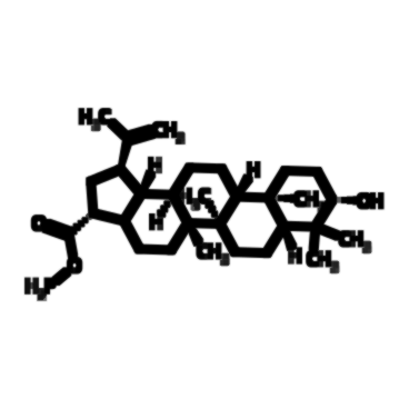 C=C(C)[C@@H]1C[C@@H](C(=O)OP)C2CC[C@]3(C)[C@H](CC[C@@H]4[C@@]5(C)CC[C@H](O)C(C)(C)[C@@H]5CC[C@]43C)[C@H]21